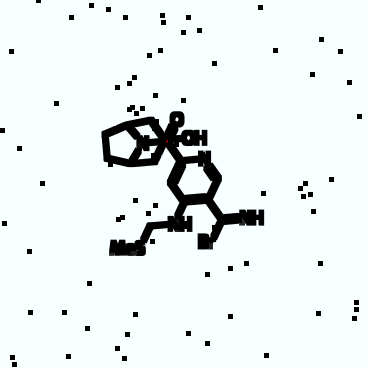 CSCNc1cc(C(=O)N2C3CCC2CC(O)C3)ncc1C(=N)Br